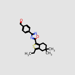 CCc1sc(-c2nc(-c3ccc(C=O)cc3)no2)c2c1CC(C)(C)CC2